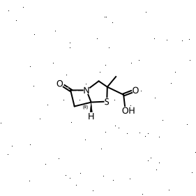 CC1(C(=O)O)CN2C(=O)C[C@H]2S1